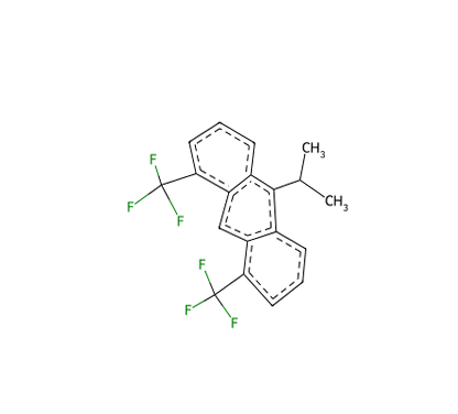 CC(C)c1c2cccc(C(F)(F)F)c2cc2c(C(F)(F)F)cccc12